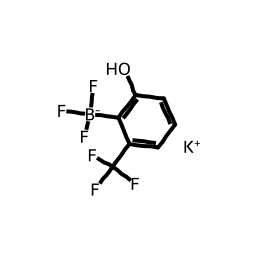 Oc1cccc(C(F)(F)F)c1[B-](F)(F)F.[K+]